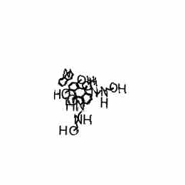 O=C1c2c(O)ccc(O)c2C(=O)c2c(NCCNCCO)ccc(NCCNCCO)c21.c1ccc2ncccc2c1